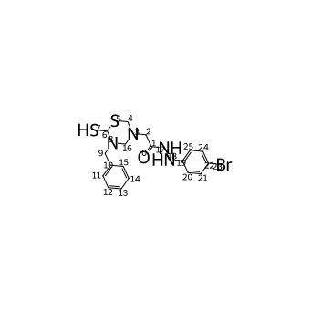 O=C(CN1CSC(S)N(Cc2ccccc2)C1)NNc1ccc(Br)cc1